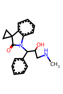 CNCC(O)C(c1ccccc1)N1C(=O)C2(CC2)c2ccccc21